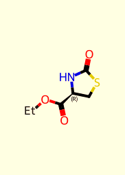 CCOC(=O)[C@@H]1CSC(=O)N1